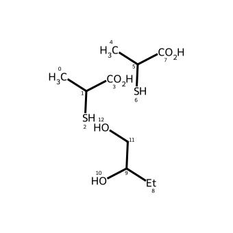 CC(S)C(=O)O.CC(S)C(=O)O.CCC(O)CO